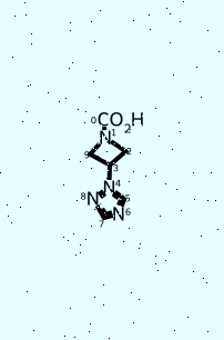 O=C(O)N1CC(n2cncn2)C1